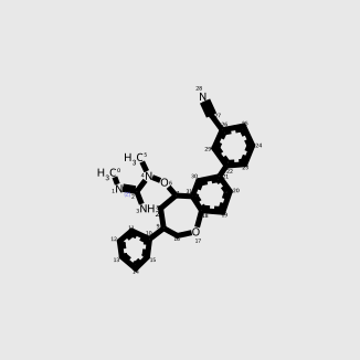 C/N=C(/N)N(C)OC1CC(c2ccccc2)COc2ccc(-c3cccc(C#N)c3)cc21